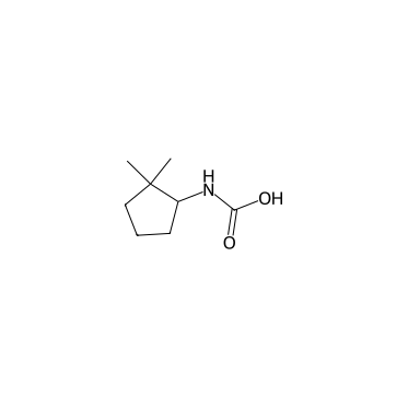 CC1(C)CCCC1NC(=O)O